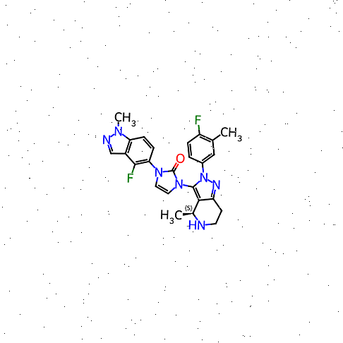 Cc1cc(-n2nc3c(c2-n2ccn(-c4ccc5c(cnn5C)c4F)c2=O)[C@H](C)NCC3)ccc1F